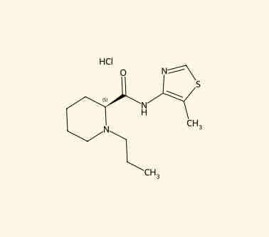 CCCN1CCCC[C@H]1C(=O)Nc1ncsc1C.Cl